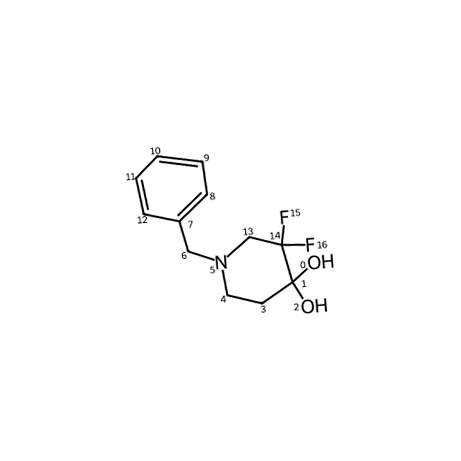 OC1(O)CCN(Cc2ccccc2)CC1(F)F